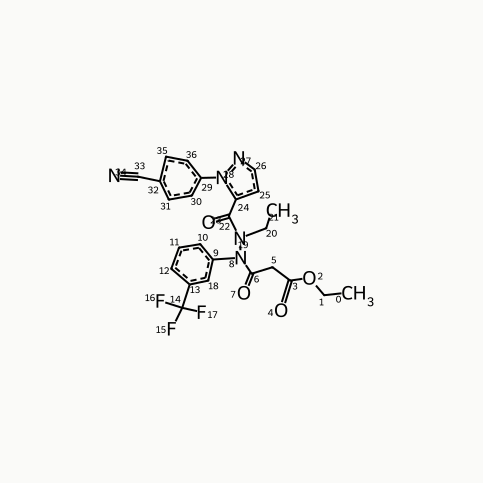 CCOC(=O)CC(=O)N(c1cccc(C(F)(F)F)c1)N(CC)C(=O)c1ccnn1-c1ccc(C#N)cc1